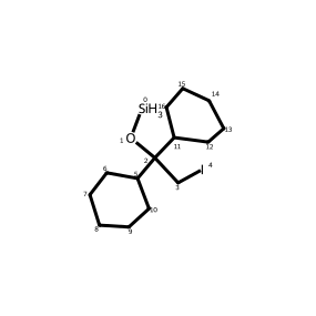 [SiH3]OC(CI)(C1CCCCC1)C1CCCCC1